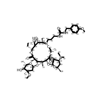 CC[C@H]1OC(=O)[C@H](C)[C@@H](O[C@H]2C[C@@](C)(OC)[C@@H](O)[C@H](C)O2)[C@H](C)[C@@H](O[C@@H]2O[C@H](C)C[C@H](N(C)C)[C@H]2O)[C@](C)(O)C[C@@H](C)CN(CCCNC(=O)NCc2ccc(OC)cc2)[C@H](C)[C@@H](O)[C@]1(C)O